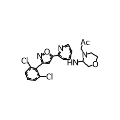 CC(=O)CN1CCOCC1Nc1ccnc(-c2cc(-c3c(Cl)cccc3Cl)no2)c1